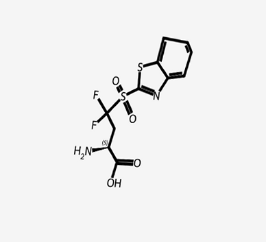 N[C@@H](CC(F)(F)S(=O)(=O)c1nc2ccccc2s1)C(=O)O